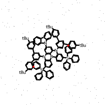 CC(C)(C)c1ccc(-c2cc(-c3ccc(C(C)(C)C)cc3)cc(N3c4cc([Si](c5ccccc5)(c5ccccc5)c5ccccc5)ccc4B4c5ccc([Si](c6ccccc6)(c6ccccc6)c6ccccc6)cc5N(c5cc(-c6ccc(C(C)(C)C)cc6)cc(-c6ccc(C(C)(C)C)cc6)c5)c5cc(-n6c7ccccc7c7ccccc76)cc3c54)c2)cc1